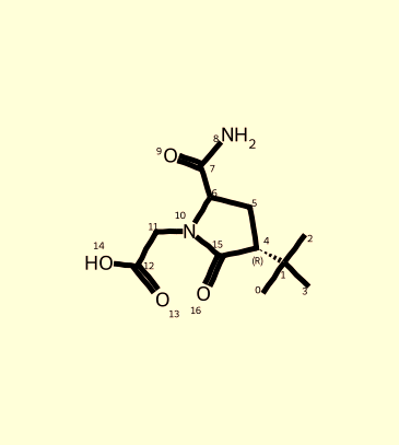 CC(C)(C)[C@H]1CC(C(N)=O)N(CC(=O)O)C1=O